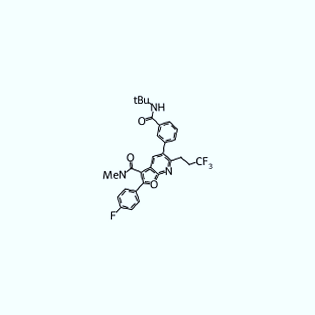 CNC(=O)c1c(-c2ccc(F)cc2)oc2nc(CCC(F)(F)F)c(-c3cccc(C(=O)NC(C)(C)C)c3)cc12